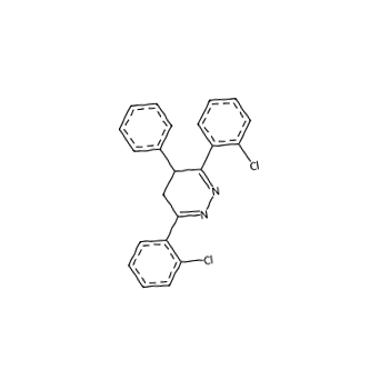 Clc1ccccc1C1=NN=C(c2ccccc2Cl)C(c2ccccc2)C1